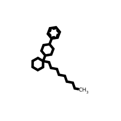 CCCCCCCCCC1(C2CCC(c3ccccc3)CC2)CCCCC1